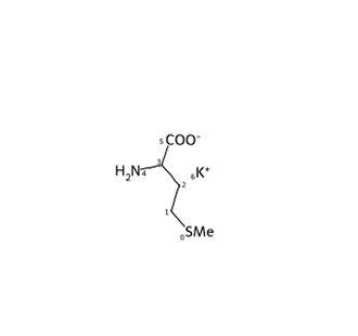 CSCCC(N)C(=O)[O-].[K+]